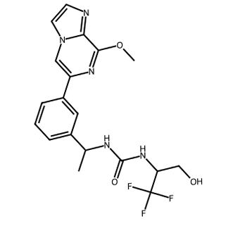 COc1nc(-c2cccc(C(C)NC(=O)NC(CO)C(F)(F)F)c2)cn2ccnc12